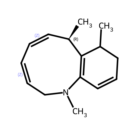 CC1CC=CC2=C1[C@H](C)/C=C\C=C/CN2C